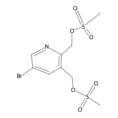 CS(=O)(=O)OCc1cc(Br)cnc1COS(C)(=O)=O